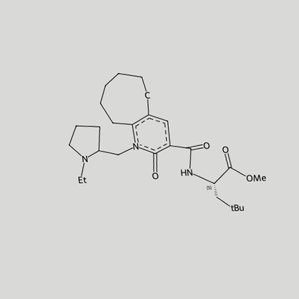 CCN1CCCC1Cn1c2c(cc(C(=O)N[C@@H](CC(C)(C)C)C(=O)OC)c1=O)CCCCCC2